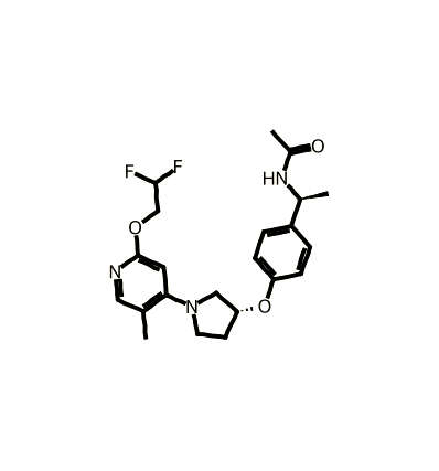 CC(=O)N[C@@H](C)c1ccc(O[C@@H]2CCN(c3cc(OCC(F)F)ncc3C)C2)cc1